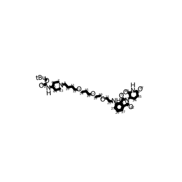 CC(C)(C)OC(=O)NC1CCN(CCCCOCCCOCCOCCNc2cccc3c2C(=O)N(C2CCC(=O)NC2=O)C3=O)CC1